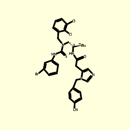 CC[C@H](C)[C@@H](CN(Cc1cccc(Cl)c1Cl)C(=S)Nc1cccc(Br)c1)NC(=O)Cc1cncn1Cc1ccc(C#N)cc1